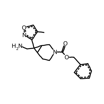 Cc1conc1C1(CN)C2CCN(C(=O)OCc3ccccc3)CC21